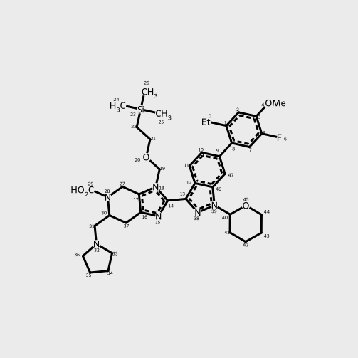 CCc1cc(OC)c(F)cc1-c1ccc2c(-c3nc4c(n3COCC[Si](C)(C)C)CN(C(=O)O)C(CN3CCCC3)C4)nn(C3CCCCO3)c2c1